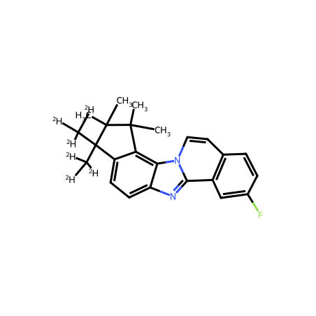 [2H]C([2H])([2H])C1(C([2H])([2H])[2H])c2ccc3nc4c5cc(F)ccc5ccn4c3c2C(C)(C)C1(C)C